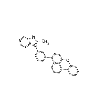 Cc1nc2ccccc2n1-c1cccc(-c2ccc3c4c(cccc24)-c2ccccc2O3)c1